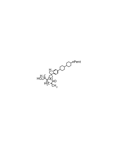 C=C(C)C(=O)OCC(C)(COC(=O)C(=C)CO)c1ccc(C2CCC(C3CCC(CCCCC)CC3)CC2)cc1